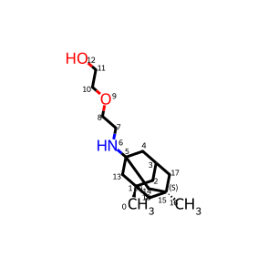 C[C@]12CC3CC(NCCOCCO)(C1)C[C@@](C)(C3)C2